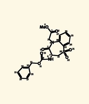 COC(=O)CN1C(=O)[C@@H](NC(=O)OCc2ccccc2)CS(=O)(=O)c2ccccc21